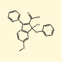 COc1ccc2c(c1)C(O)(Cc1ccccc1)C(C(=O)O)=C2c1ccccc1